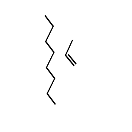 C=CC.CCCCCCCC